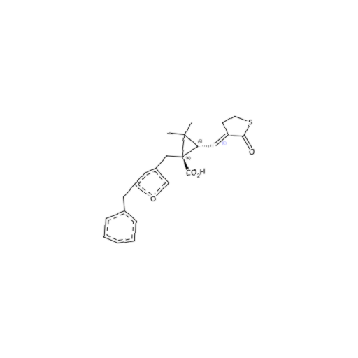 CC1(C)[C@H](/C=C2\CCSC2=O)[C@@]1(Cc1coc(Cc2ccccc2)c1)C(=O)O